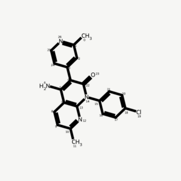 Cc1cc(-c2c(N)c3ccc(C)nc3n(-c3ccc(Cl)cc3)c2=O)ccn1